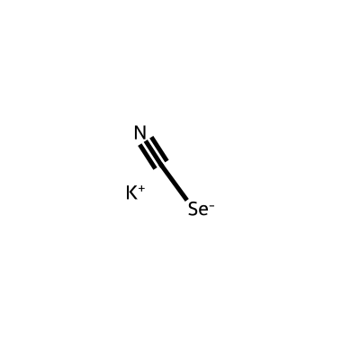 N#C[Se-].[K+]